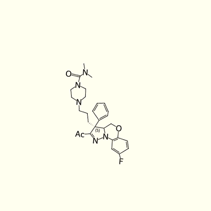 CC(=O)C1=NN2c3cc(F)ccc3OCC2[C@]1(CCCN1CCN(C(=O)N(C)C)CC1)c1ccccc1